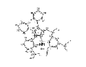 CC(C)c1cc(C(C)C)c2c(c1)C(C)Cn1c(nc(-c3ccccc3)c1-c1ccccc1)C2Nc1c(C(C)C)cccc1C(C)C